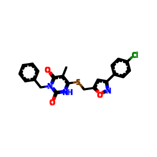 Cc1c(SCc2cc(-c3ccc(Cl)cc3)no2)[nH]c(=O)n(Cc2ccccc2)c1=O